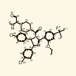 CCOc1cc(C(F)(F)F)ccc1C1=NC(c2ccc(Cl)cc2)C(c2ccc(Cl)cc2)N1C(=O)N1CCN(C(C=O)NC)CC1